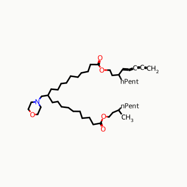 C=C=C=C=CC(CCCCC)CCOC(=O)CCCCCCCCCC(CCCCCCCCCC(=O)OCCC(C)CCCCC)CN1CCOCC1